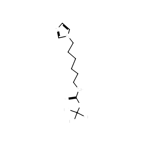 CC(C)(C)OC(=O)NCCCCCCn1ccnc1